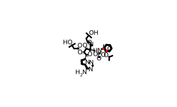 CC(C)OC(=O)[C@H](C)NP(=O)(OC[C@@]1(C#N)O[C@@H](c2ccc3c(N)ncnn23)[C@H](OC(=O)CC(C)(C)O)[C@@H]1OC(=O)CC(C)(C)O)Oc1ccccc1